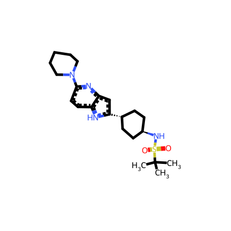 CC(C)(C)S(=O)(=O)N[C@H]1CC[C@H](c2cc3nc(N4CCCCC4)ccc3[nH]2)CC1